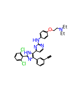 C#Cc1cccc(-c2nc(-c3c(Cl)cccc3Cl)[nH]c2-c2ccnc(Nc3ccc(OCCN(CC)CC)cc3)n2)c1